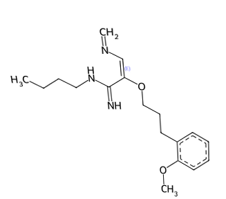 C=N/C=C(/OCCCc1ccccc1OC)C(=N)NCCCC